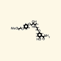 COCCOc1ccc(OCC(O)C(C)NCCOc2ccc(O)c(C(N)=O)c2)cc1